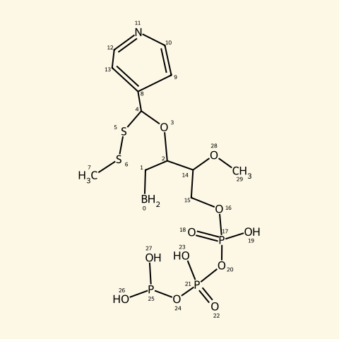 BCC(OC(SSC)c1ccncc1)C(COP(=O)(O)OP(=O)(O)OP(O)O)OC